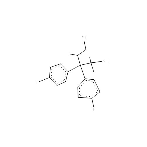 CC(CN)C(c1ccc(F)cc1)(c1ccc(F)cc1)C(C)(C)N